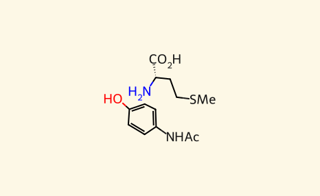 CC(=O)Nc1ccc(O)cc1.CSCC[C@H](N)C(=O)O